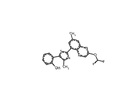 Cc1cc(-c2nc(C)c(-c3ccccc3O)s2)c2ncc(OC(F)F)nc2c1